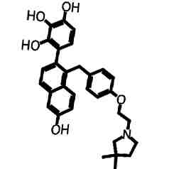 CC1(C)CCN(CCOc2ccc(Cc3c(-c4ccc(O)c(O)c4O)ccc4cc(O)ccc34)cc2)C1